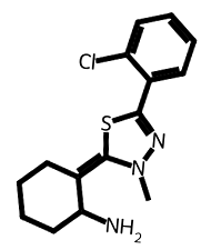 CN1N=C(c2ccccc2Cl)SC1=C1CCCCC1N